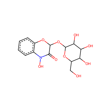 O=C1C(OC2OC(CO)C(O)C(O)C2O)Oc2ccccc2N1O